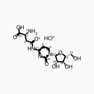 Cl.N[C@@H](CC(=O)Nc1ccn([C@@H]2O[C@H](CO)[C@@H](O)[C@@H]2O)c(=O)n1)C(=O)O